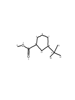 COC(=O)C1CCCC(C(C)(C)C)C1